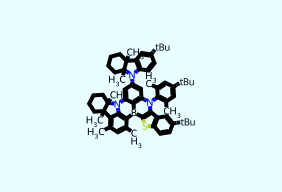 Cc1cc(C)c2c3c1B1c4sc5ccc(C(C)(C)C)cc5c4N(c4c(C)cc(C(C)(C)C)cc4C)c4cc(N5c6ccc(C(C)(C)C)cc6C6(C)CCCCC56C)cc(c41)N3C1(C)CCCCC21C